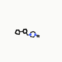 CCN1CCCN(Cc2cccc(-c3ccccc3)c2)CC1